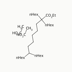 CC(=O)O.CC(=O)O.CCCCCCC(CCCCCC)CCCCCC(CCCCCC)(CCCCCC)C(=O)OCC